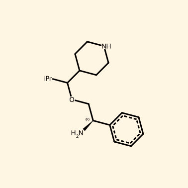 CC(C)C(OC[C@H](N)c1ccccc1)C1CCNCC1